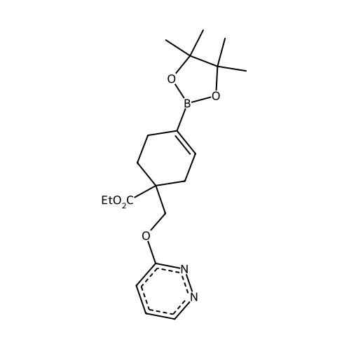 CCOC(=O)C1(COc2cccnn2)CC=C(B2OC(C)(C)C(C)(C)O2)CC1